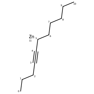 CCCC#CCCCCCC.[Zn]